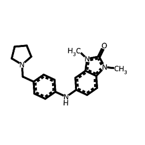 Cn1c(=O)n(C)c2cc(Nc3ccc(CN4CCCC4)cc3)ccc21